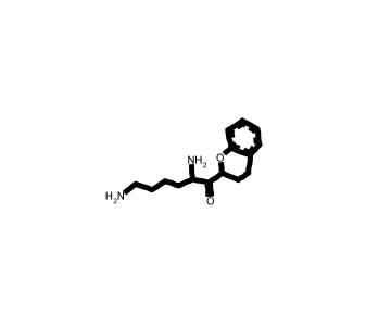 NCCCCC(N)C(=O)C1CCc2ccccc2O1